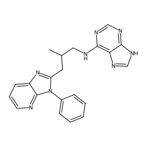 CC(CNc1ncnc2[nH]cnc12)Cc1nc2cccnc2n1-c1ccccc1